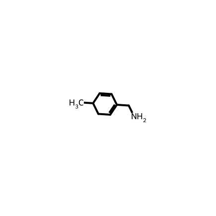 CC1C=CC(CN)=CC1